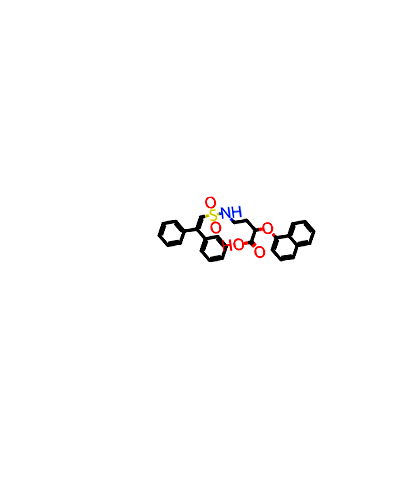 O=C(O)C(CCNS(=O)(=O)C=C(c1ccccc1)c1ccccc1)Oc1cccc2ccccc12